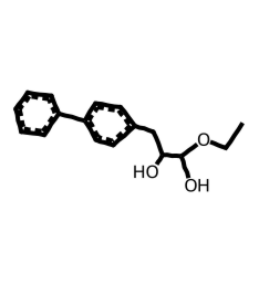 CCOC(O)C(O)Cc1ccc(-c2ccccc2)cc1